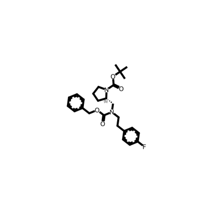 CC(C)(C)OC(=O)N1CCC[C@H]1CN(CCc1ccc(F)cc1)C(=O)OCc1ccccc1